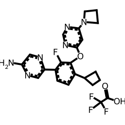 Nc1cnc(-c2ccc(C3CCC3)c(Oc3cc(N4CCC4)ncn3)c2F)cn1.O=C(O)C(F)(F)F